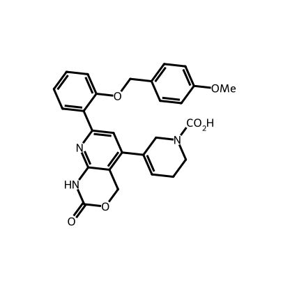 COc1ccc(COc2ccccc2-c2cc(C3=CCCN(C(=O)O)C3)c3c(n2)NC(=O)OC3)cc1